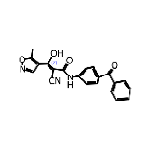 Cc1oncc1/C(O)=C(\C#N)C(=O)Nc1ccc(C(=O)c2ccccc2)cc1